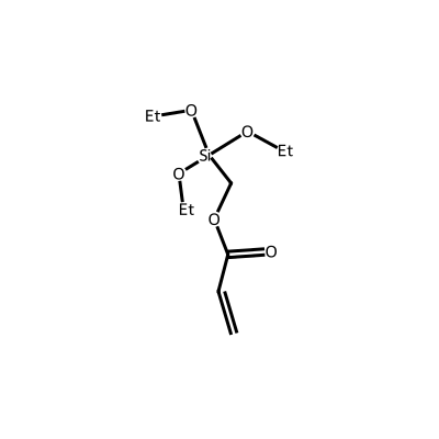 C=CC(=O)OC[Si](OCC)(OCC)OCC